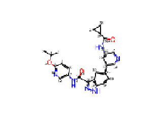 CC(C)Oc1ccc(NC(=O)c2n[nH]c3ccc(-c4cncc(NC(=O)C5CC5)c4)cc23)cn1